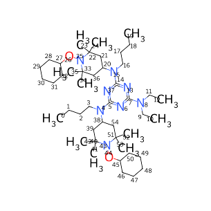 CCCCN(c1nc(N(CC)CC)nc(N(CCCC)C2CC(C)(C)N(OC3CCCCC3)C(C)(C)C2)n1)C1CC(C)(C)N(OC2CCCCC2)C(C)(C)C1